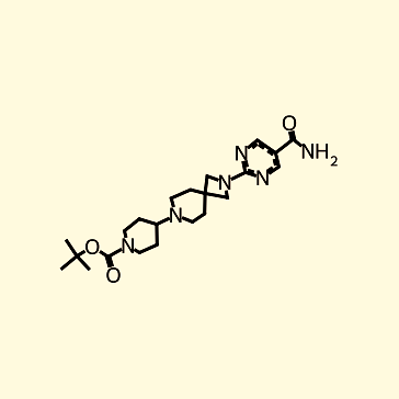 CC(C)(C)OC(=O)N1CCC(N2CCC3(CC2)CN(c2ncc(C(N)=O)cn2)C3)CC1